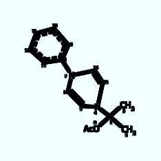 CC(=O)OC(C)(C)N1C=CN(c2ccccc2)C=C1